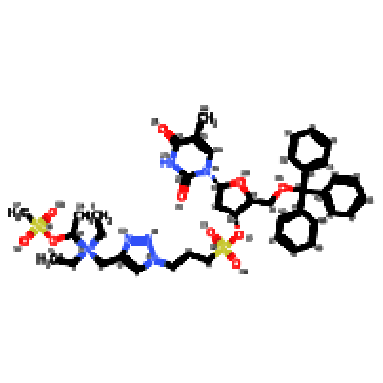 CC[N+](CC)(Cc1cn(CCCS(=O)(=O)O[C@@H]2C[C@H](n3cc(C)c(=O)[nH]c3=O)O[C@H]2COC(c2ccccc2)(c2ccccc2)c2ccccc2)nn1)C(C)OS(C)(=O)=O